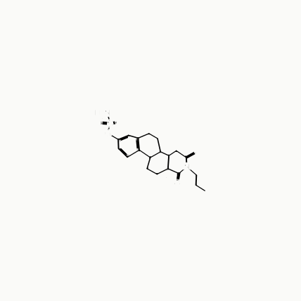 CCCN1C(=O)CC2C3CCc4cc(OS(N)(=O)=O)ccc4C3CC[C@]2(C)C1=O